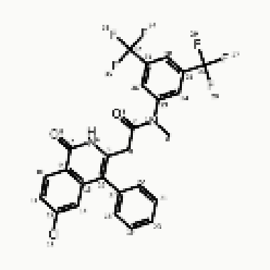 CN(C(=O)Cc1[nH]c(=O)c2ccc(Cl)cc2c1-c1ccccc1)c1cc(C(F)(F)F)cc(C(F)(F)F)c1